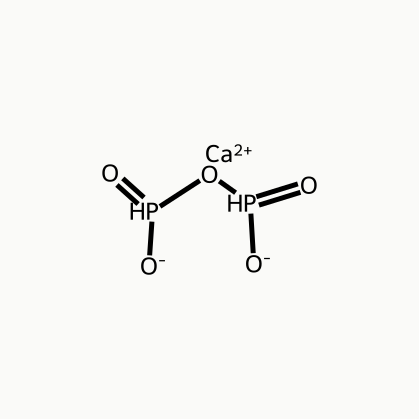 O=[PH]([O-])O[PH](=O)[O-].[Ca+2]